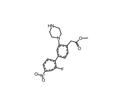 COC(=O)Cc1ccc(-c2ccc([N+](=O)[O-])cc2F)cc1N1CCNCC1